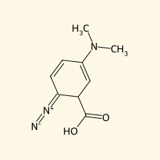 CN(C)C1=CC(C(=O)O)C(=[N+]=[N-])C=C1